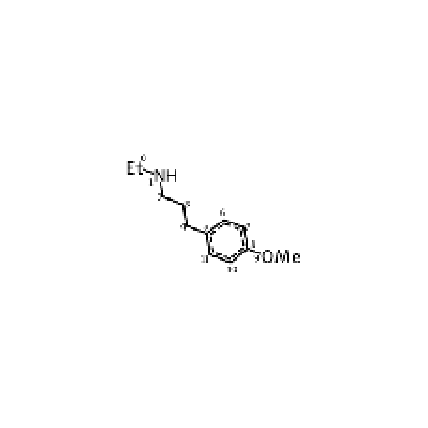 CCNCCCc1ccc(OC)cc1